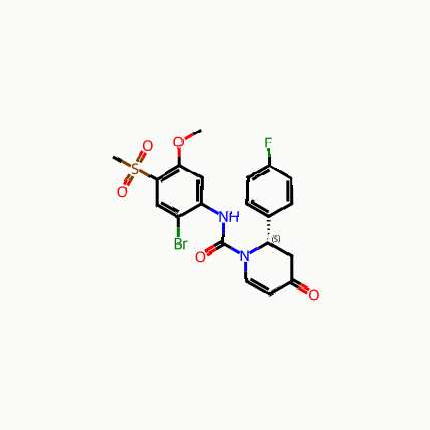 COc1cc(NC(=O)N2C=CC(=O)C[C@H]2c2ccc(F)cc2)c(Br)cc1S(C)(=O)=O